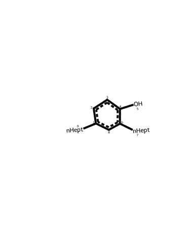 CCCCCCCc1ccc(O)c(CCCCCCC)c1